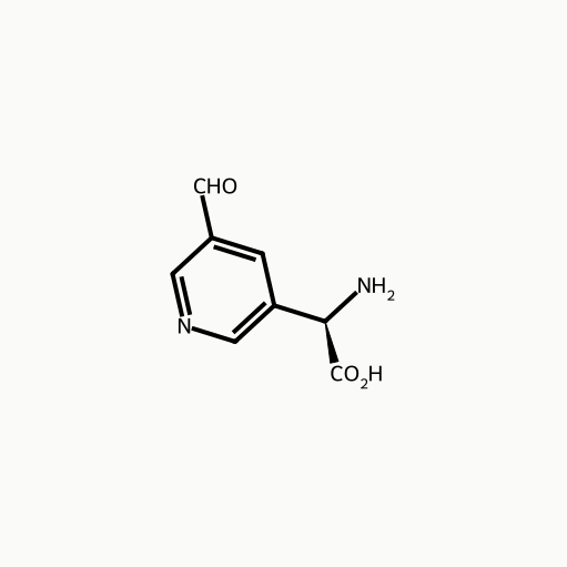 N[C@@H](C(=O)O)c1cncc(C=O)c1